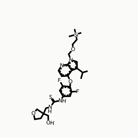 CC(C)c1cn(COCC[Si](C)(C)C)c2nccc(Oc3c(F)cc(NC(=S)NCC4(CO)CCOC4)cc3F)c12